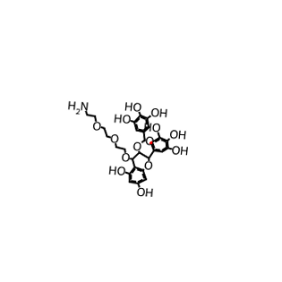 NCCOCCOCCOC1c2c(O)cc(O)cc2OC(c2cc(O)c(O)c(O)c2)C1OC(=O)c1cc(O)c(O)c(O)c1